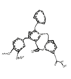 COc1ccc(-c2cc(-c3ccccc3)n(Cc3ccc(C(=O)NO)cc3)c2C(N)=O)cc1OC